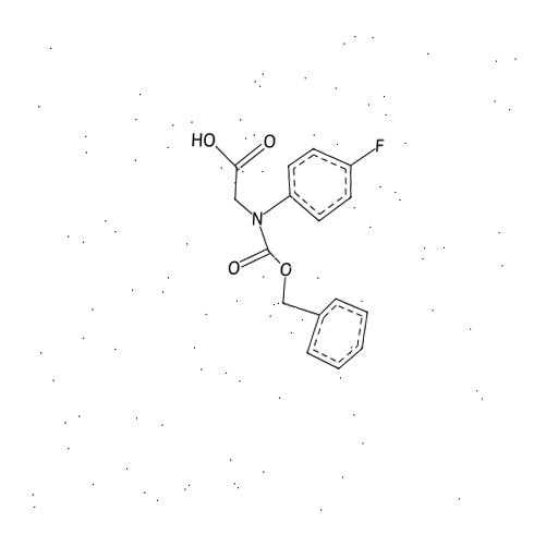 O=C(O)CN(C(=O)OCc1ccccc1)c1ccc(F)cc1